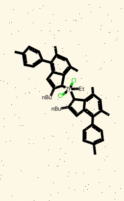 CCCCC1=Cc2c(-c3ccc(C)cc3)c(C)cc(C)c2[CH]1[Zr]([Cl])([Cl])([CH2]C)[CH]1C(CCCC)=Cc2c(-c3ccc(C)cc3)c(C)cc(C)c21